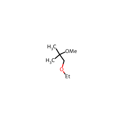 CCOCC(C)(C)OC